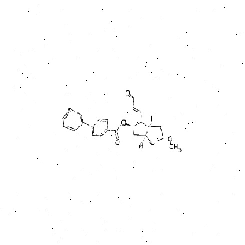 CO[C@H]1C[C@@H]2[C@@H](/C=C/C=O)[C@H](OC(=O)c3ccc(-c4ccccc4)cc3)C[C@@H]2O1